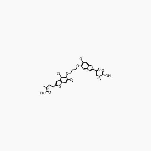 COc1cc2sc(C(=O)C[C@H](C)C(=O)O)cc2cc1OCCCOc1c(OC)cc2sc(CC[C@H](C)C(=O)O)cc2c1Cl